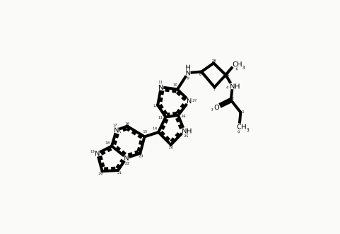 CCC(=O)NC1(C)CC(Nc2ncc3c(-c4cnc5nccn5c4)c[nH]c3n2)C1